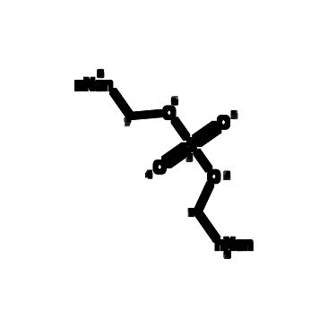 CCCCCCCCCCOS(=O)(=O)OCCCCCCCCCC